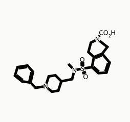 CN(CC1CCN(Cc2ccccc2)CC1)S(=O)(=O)c1cccc2c1CCN(C(=O)O)C2